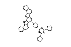 c1ccc(-c2nc(-c3ccccc3)nc(-c3ccc(-c4cc5c6ccc7ccccc7c6sc5c5nc6c7ccccc7ccc6n45)cc3)n2)cc1